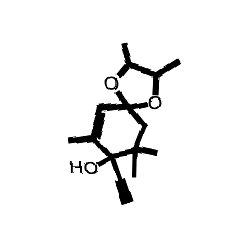 C#CC1(O)C(C)=CC2(CC1(C)C)OC(C)C(C)O2